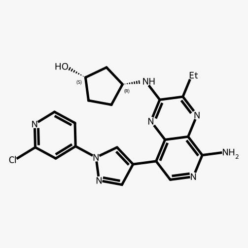 CCc1nc2c(N)ncc(-c3cnn(-c4ccnc(Cl)c4)c3)c2nc1N[C@@H]1CC[C@H](O)C1